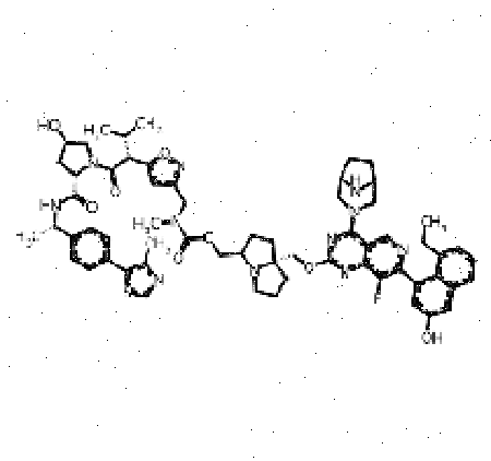 CCc1cccc2cc(O)cc(-c3ncc4c(N5CC6CCC(C5)N6)nc(OC[C@]56CCCN5C(COC(=O)N(C)Cc5cc([C@H](C(=O)N7C[C@H](O)C[C@H]7C(=O)N[C@@H](C)c7ccc(-c8scnc8C)cc7)C(C)C)on5)CC6)nc4c3F)c12